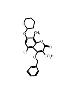 CCc1cc(OC2CCCCO2)c(C)c2oc(=O)c(C(=O)O)c(OCc3ccccc3)c12